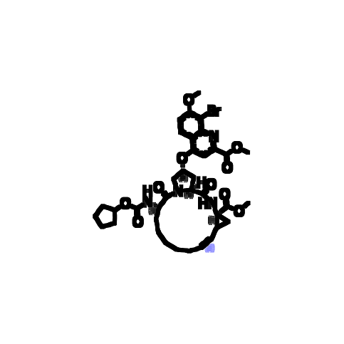 COC(=O)c1cc(O[C@@H]2C[C@H]3C(=O)N[C@]4(C(=O)OC)CC4/C=C\CCCCC[C@H](NC(=O)OC4CCCC4)C(=O)N3C2)c2ccc(OC)c(Br)c2n1